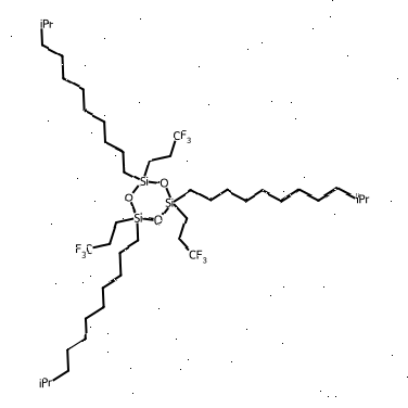 CC(C)CCCCCCCCC[Si]1(CCC(F)(F)F)O[Si](CCCCCCCCCC(C)C)(CCC(F)(F)F)O[Si](CCCCCCCCCC(C)C)(CCC(F)(F)F)O1